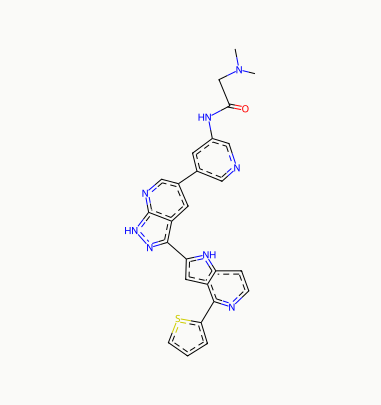 CN(C)CC(=O)Nc1cncc(-c2cnc3[nH]nc(-c4cc5c(-c6cccs6)nccc5[nH]4)c3c2)c1